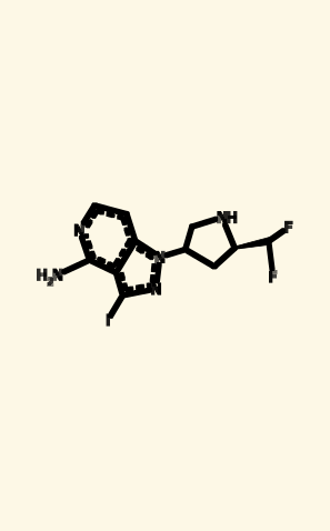 Nc1nccc2c1c(I)nn2C1CN[C@@H](C(F)F)C1